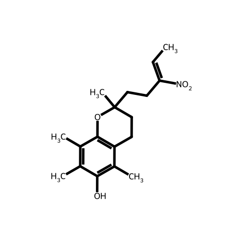 CC=C(CCC1(C)CCc2c(C)c(O)c(C)c(C)c2O1)[N+](=O)[O-]